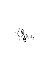 CC(C)=C(C)S(N)(=O)=O